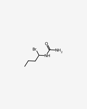 CCCC(Br)NC(N)=O